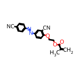 C=C(C)C(=O)OCCOc1ccc(N=Nc2ccc(C#N)cc2)cc1C#N